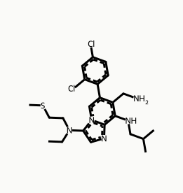 CCN(CCSC)c1cnc2c(NCC(C)C)c(CN)c(-c3ccc(Cl)cc3Cl)cn12